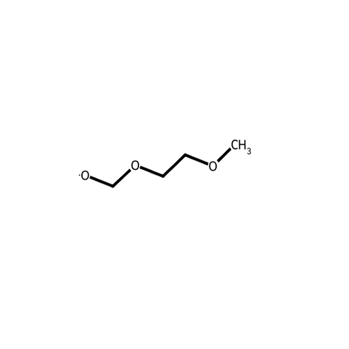 COCCOC[O]